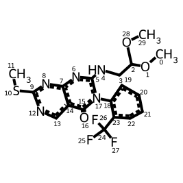 COC(CNc1nc2nc(SC)ncc2c(=O)n1-c1ccccc1C(F)(F)F)OC